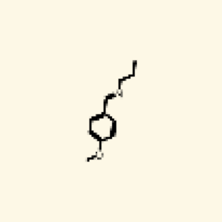 CCCN=Cc1ccc(OC)cc1